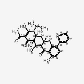 CN(C)[C@@H]1C(O)=C(C(N)=O)C(=O)C2(O)C(O)=C3C(=O)c4c(O)ccc(-c5ccccn5)c4C[C@H]3C[C@@H]12